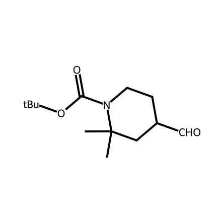 CC(C)(C)OC(=O)N1CCC(C=O)CC1(C)C